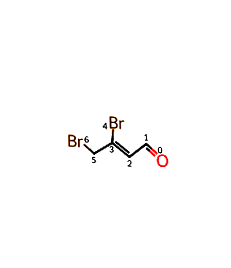 O=CC=C(Br)CBr